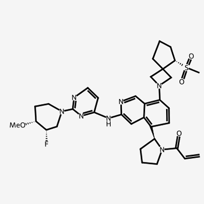 C=CC(=O)N1CCC[C@H]1c1ccc(N2CC3(CCC[C@@H]3S(C)(=O)=O)C2)c2cnc(Nc3ccnc(N4CC[C@@H](OC)[C@@H](F)C4)n3)cc12